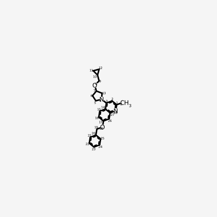 Cc1cc(N2CCC(OCC3CC3)C2)c2ccc(OCc3ccccc3)cc2n1